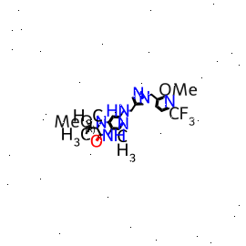 COc1nc(C(F)(F)F)ccc1Cn1cc(CNc2cc3c(c(C)n2)NC(=O)C([C@@H](C)OC)N3C)cn1